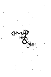 NC(=O)Oc1cccc2[nH]c(-c3cccnc3NCCCN3CCCC3)nc12